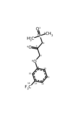 CP(C)(=O)CC(=O)COc1cccc(C(F)(F)F)c1